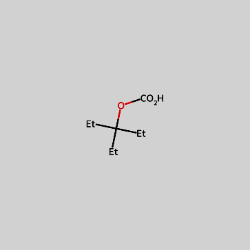 CCC(CC)(CC)OC(=O)O